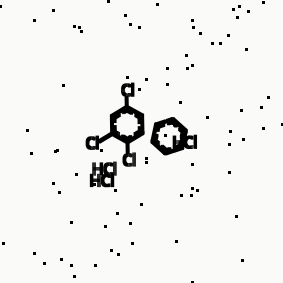 Cl.Cl.Cl.Clc1ccc(Cl)c(Cl)c1.c1ccccc1